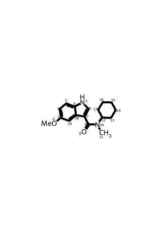 COc1ccc2[nH][c]c(C(=O)N(C)C3CCCCC3)c2c1